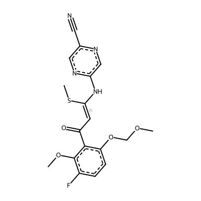 COCOc1ccc(F)c(OC)c1C(=O)/C=C(/Nc1cnc(C#N)cn1)SC